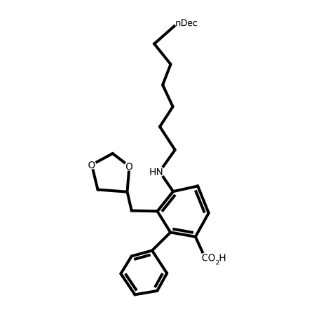 CCCCCCCCCCCCCCCCNc1ccc(C(=O)O)c(-c2ccccc2)c1CC1COCO1